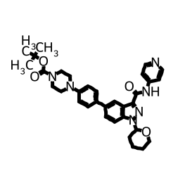 CC(C)(C)OC(=O)N1CCN(c2ccc(-c3ccc4c(c3)c(C(=O)Nc3ccncc3)nn4C3CCCCO3)cc2)CC1